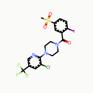 CS(=O)(=O)c1ccc(I)c(C(=O)N2CCN(c3ncc(C(F)(F)F)cc3Cl)CC2)c1